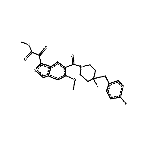 COC(=O)C(=O)c1scc2cc(OC)c(C(=O)N3CCC(F)(Cc4ccc(F)cc4)CC3)cc12